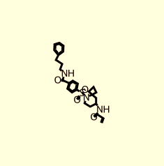 C=CC(=O)NC1CCN(S(=O)(=O)c2ccc(C(=O)NCCCc3ccccc3)cc2)C2(CCC2)C1